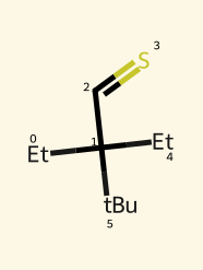 CCC(C=S)(CC)C(C)(C)C